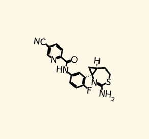 N#Cc1ccc(C(=O)Nc2ccc(F)c([C@]34C[C@H]3CCSC(N)=N4)c2)nc1